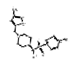 Cc1cc(CN2CCC(N(C)S(=O)(=O)c3ccc(N)cc3)CC2)[nH]n1